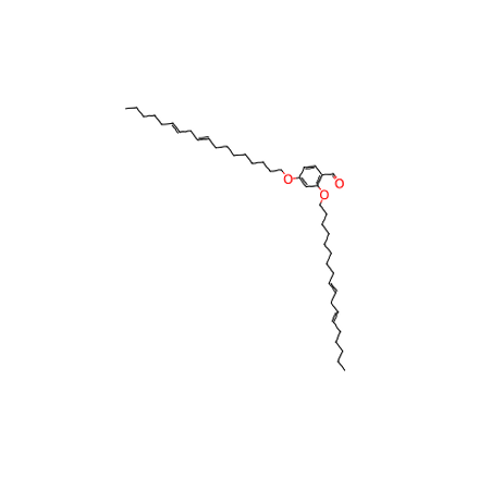 CCCCCC=CCC=CCCCCCCCCOc1ccc(C=O)c(OCCCCCCCCC=CCC=CCCCCC)c1